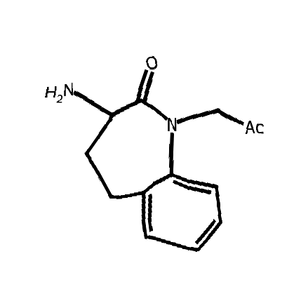 CC(=O)CN1C(=O)C(N)CCc2ccccc21